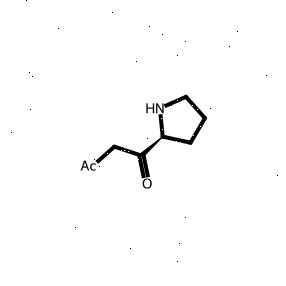 [CH2]C(=O)CC(=O)[C@@H]1CCCN1